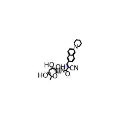 CC1O[C@H](CNC(=O)/C(C#N)=C/c2ccc3cc(N4CCCCC4)ccc3c2)[C@@H](O)[C@H](O)C[C@H]1O